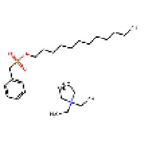 CCCCCCCCCCCCOS(=O)(=O)Cc1ccccc1.CC[N+](CC)(CC)CC